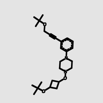 CC(C)(C)OCC#Cc1cccc(N2CCN(OC3CC(OC(C)(C)C)C3)CC2)c1